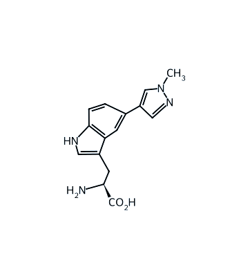 Cn1cc(-c2ccc3[nH]cc(C[C@H](N)C(=O)O)c3c2)cn1